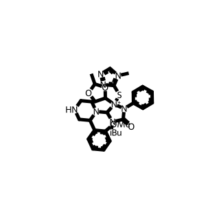 CCC(C)N1C(=O)N(c2ccccc2)[N+](Sc2nncn2C)(C2COC(C)O2)C1N1CCNCC1c1ccccc1OC